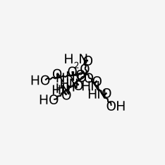 NC(=O)CCOCC(COCCC(=O)NCCCNC(=O)CCCCO)(COCCC(=O)NCCCNC(=O)CCCCO)COCCC(=O)NCCCNC(=O)CCCCO